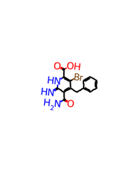 N=c1[nH]c(C(=O)O)c(Br)c(Cc2ccccc2)c1C(N)=O